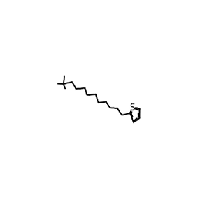 CC(C)(C)CCCCCCCCCCc1cccs1